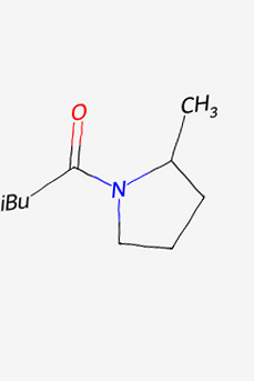 CCC(C)C(=O)N1CCCC1C